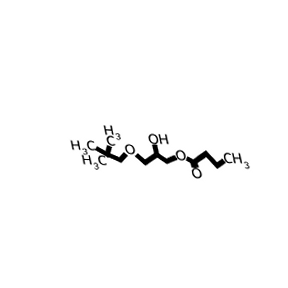 CCCC(=O)OCC(O)COCC(C)(C)C